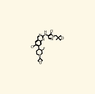 CC1(Cn2ncc(Nc3ncc4cc(Cl)c(C5CCN(C6COC6)C[C@@H]5F)cc4n3)c2Cl)COC1